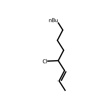 C[C]=CC(Cl)CCCCCCC